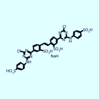 O=S(=O)(O)c1ccc(Nc2nc(Cl)nc(-c3ccc(C=Cc4ccc(-c5nc(Cl)nc(Nc6ccc(S(=O)(=O)O)cc6)n5)cc4S(=O)(=O)O)c(S(=O)(=O)O)c3)n2)cc1.[NaH]